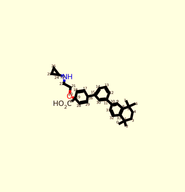 CC1(C)CCC(C)(C)c2cc(-c3cccc(C4C=CC(OCCNC5CC5)(C(=O)O)C=C4)c3)ccc21